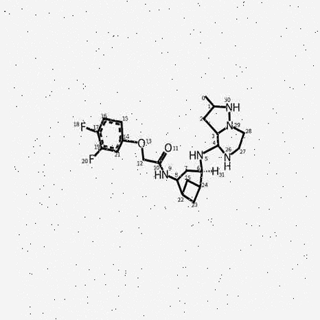 CC1CC2C(N[C@@H]3CC(NC(=O)COc4ccc(F)c(F)c4)C4CC3C4)NCCN2N1